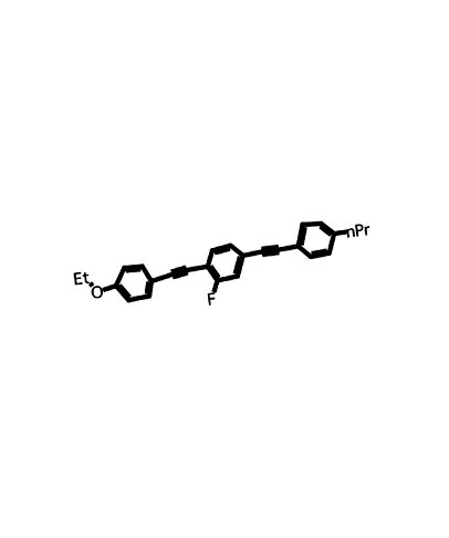 CCCc1ccc(C#Cc2ccc(C#Cc3ccc(OCC)cc3)c(F)c2)cc1